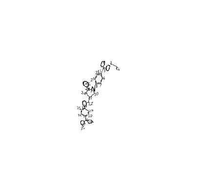 CCOC(=O)c1ccc(N2CC(COc3ccc(C(=O)OC)cc3)CC2=O)cc1